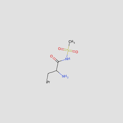 CC(C)CC(N)C(=O)NS(C)(=O)=O